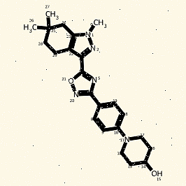 Cn1nc(-c2nc(-c3ccc(N4CCC(O)CC4)cc3)no2)c2c1CC(C)(C)CC2